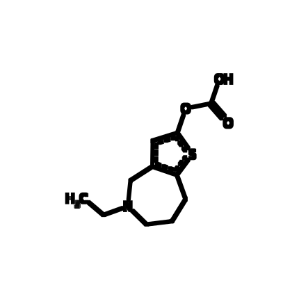 CCN1CCCc2sc(OC(=O)O)cc2C1